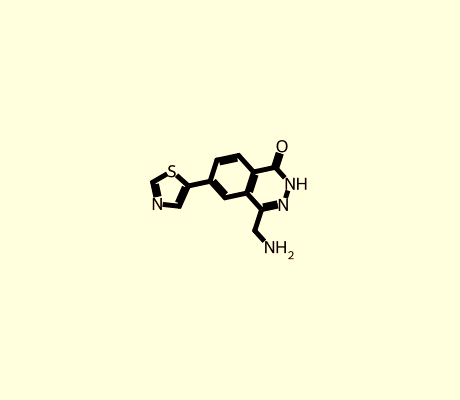 NCc1n[nH]c(=O)c2ccc(-c3cncs3)cc12